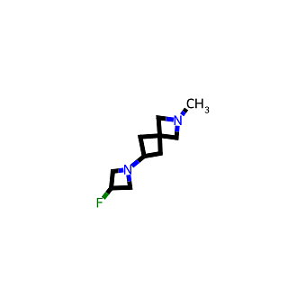 CN1CC2(CC(N3CC(F)C3)C2)C1